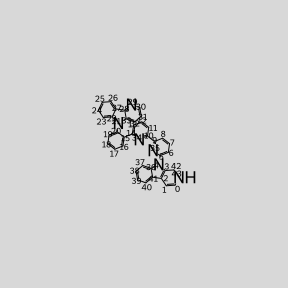 C1=Cc2c(n(-c3cccc(-c4cccc(-c5ccccc5-n5c6ccccc6c6ncccc65)n4)n3)c3ccccc23)CN1